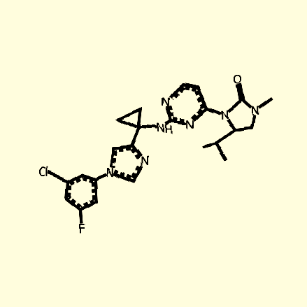 CC(C)C1CN(C)C(=O)N1c1ccnc(NC2(c3cn(-c4cc(F)cc(Cl)c4)cn3)CC2)n1